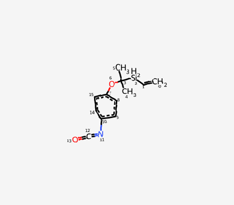 C=C[SiH2]C(C)(C)Oc1ccc(N=C=O)cc1